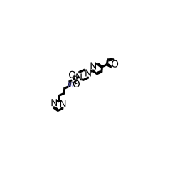 O=S(=O)(/C=C/CCCc1ncccn1)N1CCN(c2ccc(-c3ccoc3)cn2)CC1